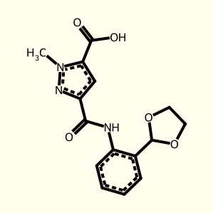 Cn1nc(C(=O)Nc2ccccc2C2OCCO2)cc1C(=O)O